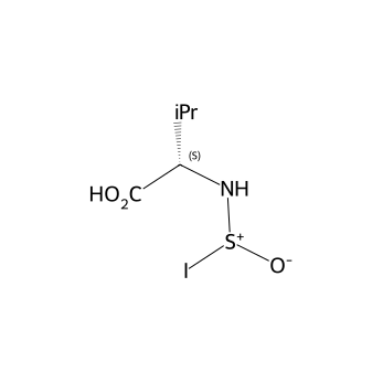 CC(C)[C@H](N[S+]([O-])I)C(=O)O